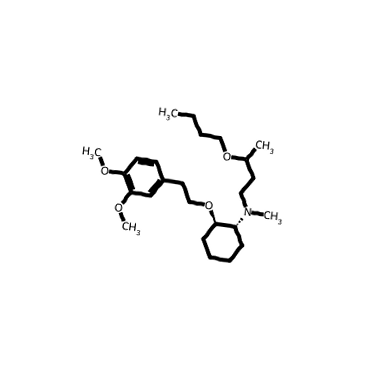 CCCCOC(C)CCN(C)[C@@H]1CCCC[C@H]1OCCc1ccc(OC)c(OC)c1